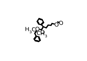 CC(C)(Cc1ccccc1)OC(=O)C(CCCCOC=O)c1ccccc1